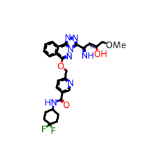 COC/C(O)=C/C(=N)c1nnc2c3ccccc3c(OCc3ccc(C(=O)NC4CCC(F)(F)CC4)cn3)nn12